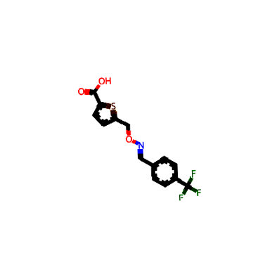 O=C(O)c1ccc(CON=Cc2ccc(C(F)(F)F)cc2)s1